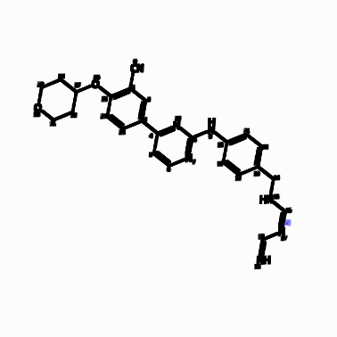 N#Cc1cc(-c2ccnc(Nc3ccc(CN/C=N\C=N)cc3)n2)ccc1OC1CCOCC1